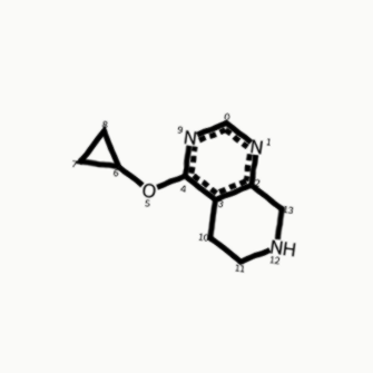 c1nc2c(c(OC3CC3)n1)CCNC2